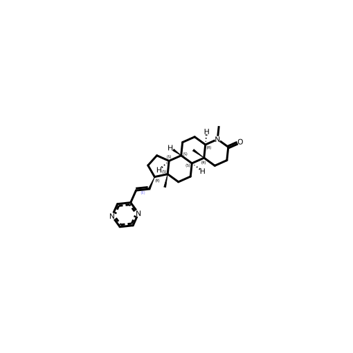 CN1C(=O)CC[C@]2(C)[C@H]3CC[C@]4(C)[C@@H](/C=C/c5cnccn5)CC[C@H]4[C@@H]3CC[C@@H]12